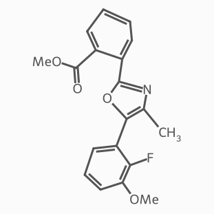 COC(=O)c1ccccc1-c1nc(C)c(-c2cccc(OC)c2F)o1